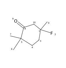 CC1(F)CCC(C)(C)C(=O)C1